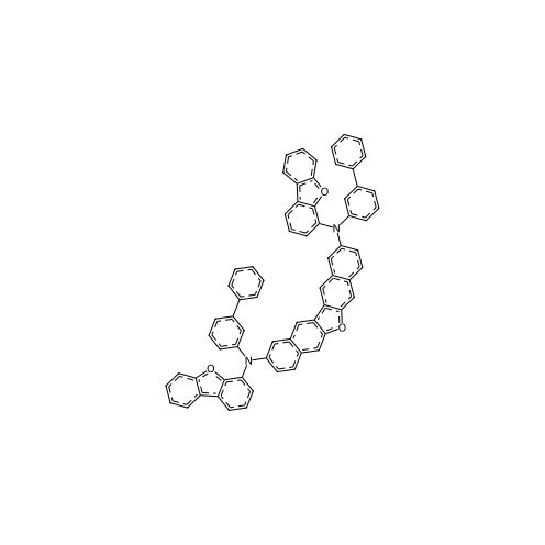 c1ccc(-c2cccc(N(c3ccc4cc5oc6cc7ccc(N(c8cccc(-c9ccccc9)c8)c8cccc9c8oc8ccccc89)cc7cc6c5cc4c3)c3cccc4c3oc3ccccc34)c2)cc1